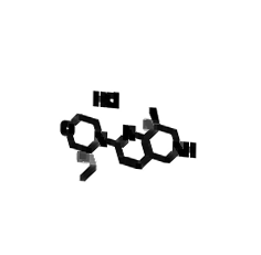 CC[C@@H]1COCCN1c1ccc2c(n1)[C@@H](C)CNC2.Cl